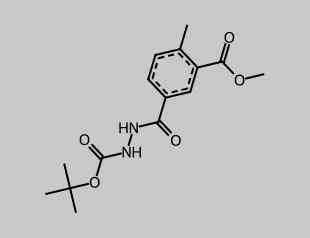 COC(=O)c1cc(C(=O)NNC(=O)OC(C)(C)C)ccc1C